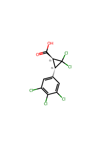 O=C(O)[C@@H]1[C@@H](c2cc(Cl)c(Cl)c(Cl)c2)C1(Cl)Cl